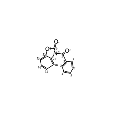 O=C(c1ccccc1)n1c(=O)oc2ccccc21